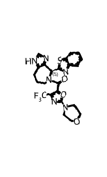 O=C(c1oc(N2CCOCC2)nc1C(F)(F)F)N1CCCc2[nH]cnc2[C@H]1c1nc2ccccc2s1